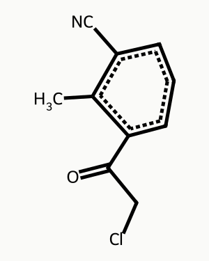 Cc1c(C#N)cccc1C(=O)CCl